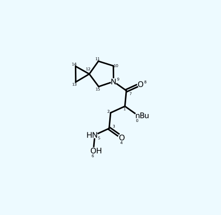 CCCCC(CC(=O)NO)C(=O)N1CCC2(CC2)C1